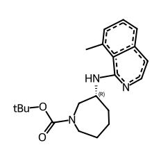 Cc1cccc2ccnc(N[C@@H]3CCCCN(C(=O)OC(C)(C)C)C3)c12